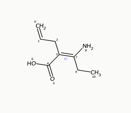 C=CC/C(C(=O)O)=C(\N)CC